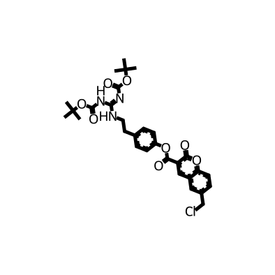 CC(C)(C)OC(=O)N=C(NCCc1ccc(OC(=O)c2cc3cc(CCl)ccc3oc2=O)cc1)NC(=O)OC(C)(C)C